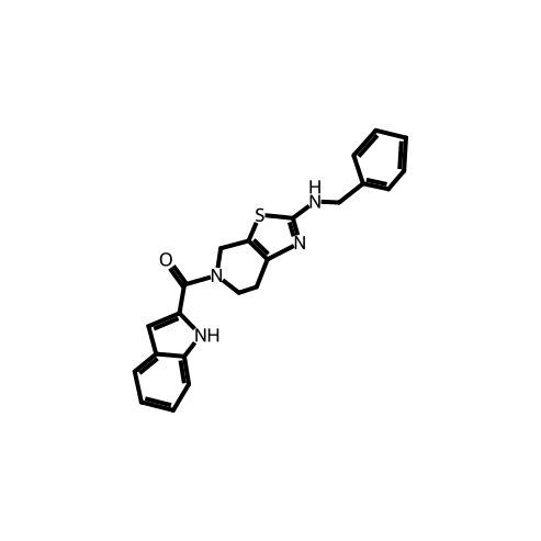 O=C(c1cc2ccccc2[nH]1)N1CCc2nc(NCc3ccccc3)sc2C1